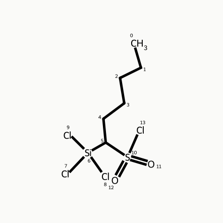 CCCCCC([Si](Cl)(Cl)Cl)S(=O)(=O)Cl